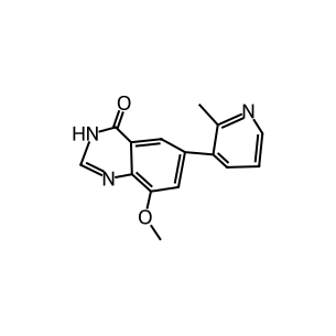 COc1cc(-c2cccnc2C)cc2c(=O)[nH]cnc12